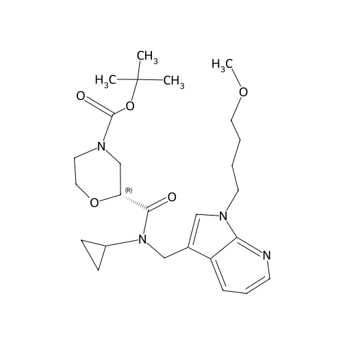 COCCCCn1cc(CN(C(=O)[C@H]2CN(C(=O)OC(C)(C)C)CCO2)C2CC2)c2cccnc21